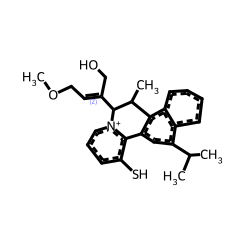 COC/C=C(\CO)C1C(C)c2c(cc(C(C)C)c3ccccc23)-c2c(S)ccc[n+]21